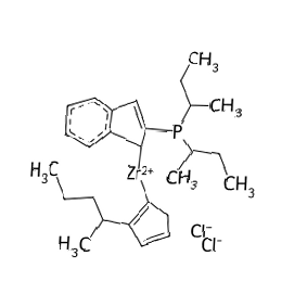 CCCC(C)C1=[C]([Zr+2][CH]2C(P(C(C)CC)C(C)CC)=Cc3ccccc32)CC=C1.[Cl-].[Cl-]